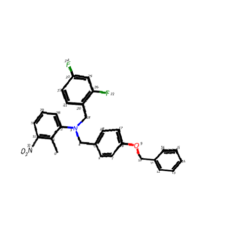 Cc1c(N(Cc2ccc(OCc3ccccc3)cc2)Cc2ccc(F)cc2F)cccc1[N+](=O)[O-]